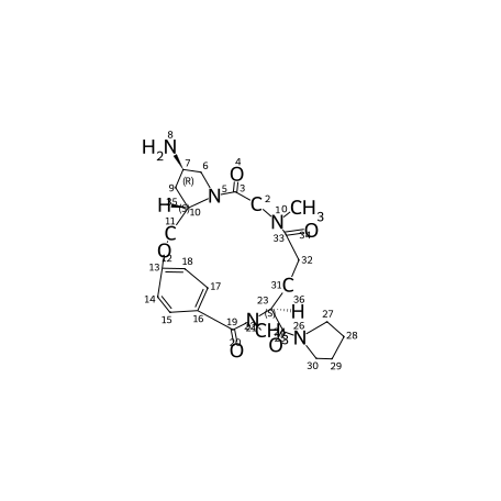 CN1CC(=O)N2C[C@H](N)C[C@H]2COc2ccc(cc2)C(=O)N(C)[C@H](C(=O)N2CCCC2)CCC1=O